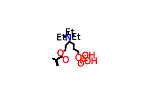 C=C(C)C(=O)OCCC(CCCOP(=O)(O)O)[N+](CC)(CC)CC